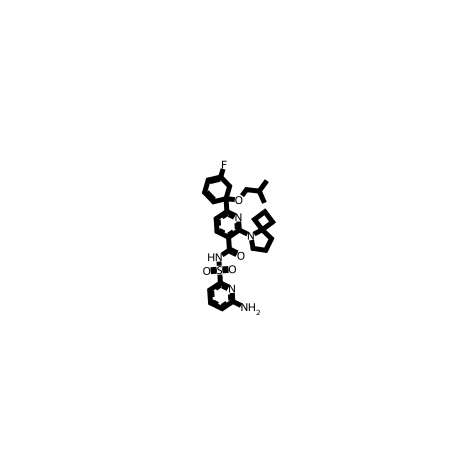 CC(C)COC1(c2ccc(C(=O)NS(=O)(=O)c3cccc(N)n3)c(N3CCCC34CCC4)n2)C=CC=C(F)C1